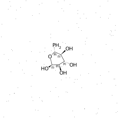 O[C@@H]1[C@@H](O)[C@@H](O)O[C@H](P)[C@H]1O